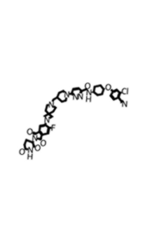 N#Cc1ccc(O[C@H]2CC[C@H](NC(=O)c3ccc(N4CCC(CN5CCC6(CC5)CN(c5cc7c(cc5F)C(=O)N(C5CCC(=O)NC5=O)C7=O)C6)CC4)nn3)CC2)cc1Cl